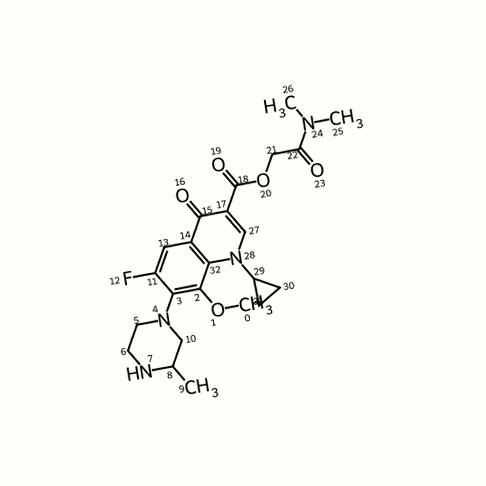 COc1c(N2CCNC(C)C2)c(F)cc2c(=O)c(C(=O)OCC(=O)N(C)C)cn(C3CC3)c12